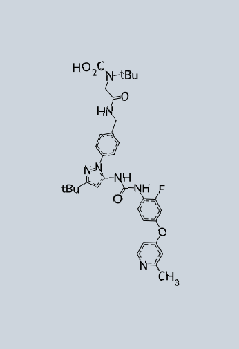 Cc1cc(Oc2ccc(NC(=O)Nc3cc(C(C)(C)C)nn3-c3ccc(CNC(=O)CN(C(=O)O)C(C)(C)C)cc3)c(F)c2)ccn1